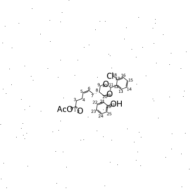 CC(=O)OC(=O)CC/C=C\C[C@@H]1COC(c2ccccc2Cl)O[C@@H]1c1ccccc1O